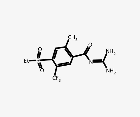 CCS(=O)(=O)c1cc(C)c(C(=O)N=C(N)N)cc1C(F)(F)F